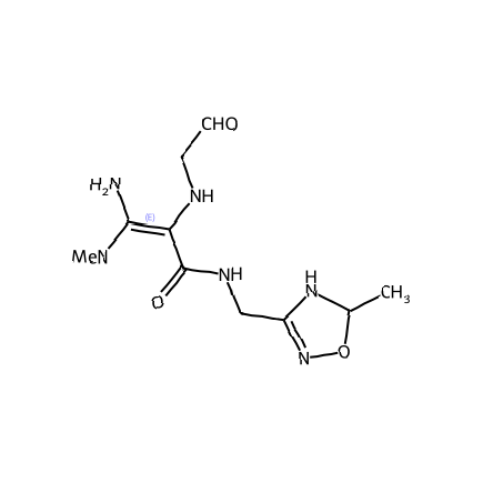 CN/C(N)=C(/NCC=O)C(=O)NCC1=NOC(C)N1